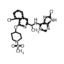 C[C@H](Nc1ncnc2[nH]c(Cl)nc12)c1cc2cccc(Cl)c2c(OC2CCN(S(C)(=O)=O)CC2)n1